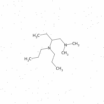 C[CH]C(CN(C)C)N(CCC)CCC